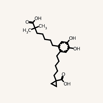 CC(C)(CCCCCc1cc(O)c(O)cc1CCCCCC1(C(=O)O)CC1)C(=O)O